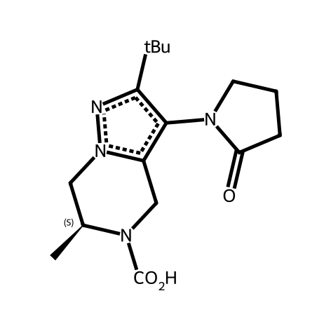 C[C@H]1Cn2nc(C(C)(C)C)c(N3CCCC3=O)c2CN1C(=O)O